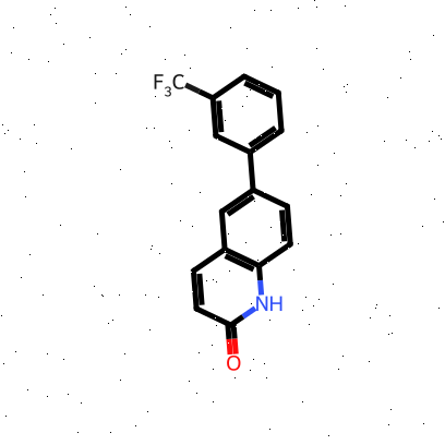 O=c1ccc2cc(-c3cccc(C(F)(F)F)c3)ccc2[nH]1